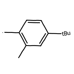 [CH2]c1ccc(C(C)(C)C)cc1C